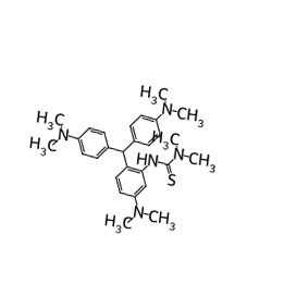 CN(C)C(=S)Nc1cc(N(C)C)ccc1C(c1ccc(N(C)C)cc1)c1ccc(N(C)C)cc1